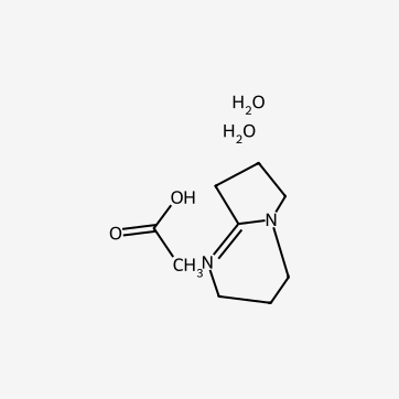 C1CN=C2CCCN2C1.CC(=O)O.O.O